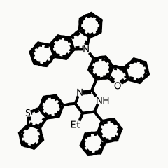 CCC1C(c2ccc3sc4ccccc4c3c2)N=C(c2cc(-n3c4ccccc4c4cc5ccccc5cc43)cc3c2oc2ccccc23)NC1c1cccc2ccccc12